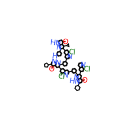 O=c1cc(C2CCCCC2)[nH]c2nc(-c3cccc(-c4cnc5c(Cl)cc(-c6cc7c(=O)c(C8CCCC8)c[nH]c7nc6-c6cccc(-c7cnc8c(Cl)cc(-c9c(-c%10ccccc%10)nc%10[nH]ccc(=O)c%10c9C9CC9)cc8c7)c6)cc5c4)c3)c(-c3cc(Cl)c4ncccc4c3)cc12